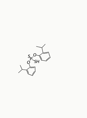 CC(C)c1ccccc1OP(=S)(S)Oc1ccccc1C(C)C